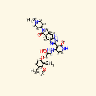 COc1c(C)ccc(OC[C@H](O)CNc2cc[nH]c(=O)c2-c2nc3cc4c(cc3[nH]2)CN(C2CCN(C)CC2)C4=O)c1C